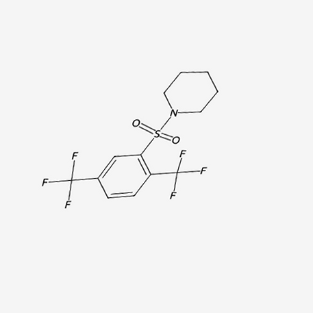 O=S(=O)(c1cc(C(F)(F)F)ccc1C(F)(F)F)N1CCCCC1